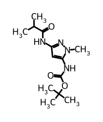 CC(C)C(=O)Nc1cc(NC(=O)OC(C)(C)C)n(C)n1